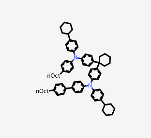 CCCCCCCCc1ccc(-c2ccc(N(c3ccc(C4CCCCC4)cc3)c3ccc(C4(c5ccc(N(c6ccc(CCCCCCCC)cc6)c6ccc(C7CCCCC7)cc6)cc5)CCCCC4)cc3)cc2)cc1